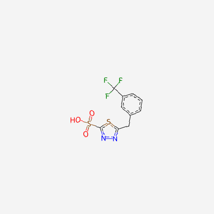 O=S(=O)(O)c1nnc(Cc2cccc(C(F)(F)F)c2)s1